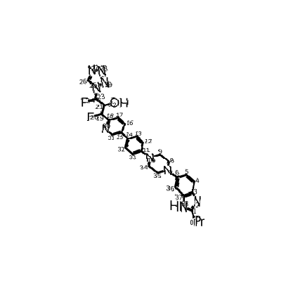 CC(C)c1nc2ccc(N3CCN(c4ccc(-c5ccc(C(F)C(O)C(F)n6cnnn6)nc5)cc4)CC3)cc2[nH]1